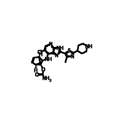 Cc1nc(C2CCNCC2)sc1-c1nc2c(N[C@H]3[C@@H](OC(N)=O)[C@@H]4C=C[C@H]3C4)c(Cl)cnc2[nH]1